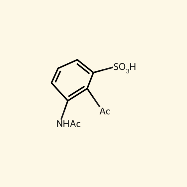 CC(=O)Nc1cccc(S(=O)(=O)O)c1C(C)=O